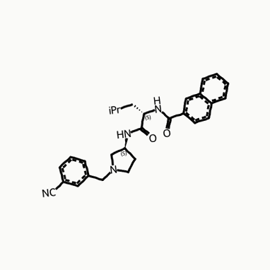 CC(C)C[C@H](NC(=O)c1ccc2ccccc2c1)C(=O)N[C@H]1CCN(Cc2cccc(C#N)c2)C1